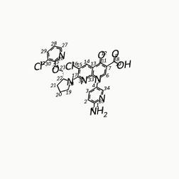 Nc1ccc(-n2cc(C(=O)O)c(=O)c3cc(Cl)c(N4CCC[C@@H]4COc4ncccc4Cl)nc32)cn1